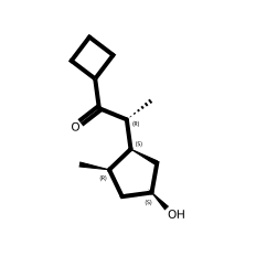 C[C@@H]1C[C@H](O)C[C@@H]1[C@@H](C)C(=O)C1CCC1